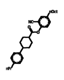 CCCCCCCCc1ccc(OC(=O)C2CCC(c3ccc(CCC)cc3)CC2)c(C#N)c1